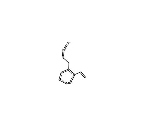 C=Cc1ccccc1CN=[N+]=[N-]